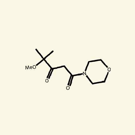 COC(C)(C)C(=O)CC(=O)N1CCOCC1